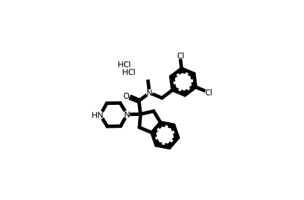 CN(Cc1cc(Cl)cc(Cl)c1)C(=O)C1(N2CCNCC2)Cc2ccccc2C1.Cl.Cl